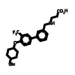 CC(C)(C)C1CCC(Oc2ccc(-c3cccc(CNCCC(=O)O)c3)cc2C(F)(F)F)CC1